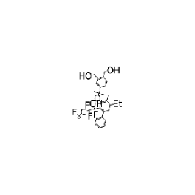 CCc1cc(-c2ccccc2)c(C(O)(F)C(F)(F)C(F)(F)F)c(OC(C)(C)c2ccc(CO)c(CO)c2)c1C